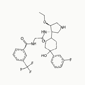 CCO[C@H]1CNC[C@@]1(NC(=O)CNC(=O)c1cccc(C(F)(F)F)c1)C1CCC(O)(c2cccc(F)c2)CC1